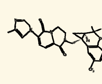 Cc1cn(-c2ccc3n(c2=O)CCN(C[C@]24C[C@H]2C(C)(C)Oc2ccc(C(F)(F)F)cc24)C3=O)cn1